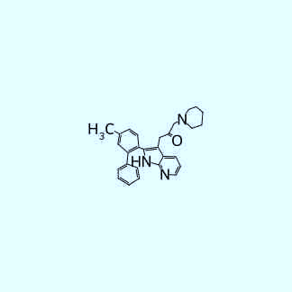 Cc1ccc(-c2[nH]c3ncccc3c2CC(=O)CN2CCCCC2)c(-c2ccccc2)c1